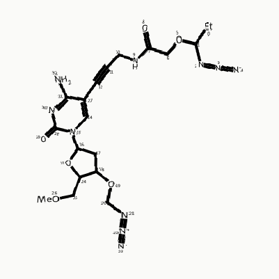 CCC(N=[N+]=[N-])OCC(=O)NCC#Cc1cn(C2CC(OCN=[N+]=[N-])C(COC)O2)c(=O)nc1N